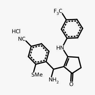 CSc1cc(C#N)ccc1C(N)C1=C(Nc2cccc(C(F)(F)F)c2)CCC1=O.Cl